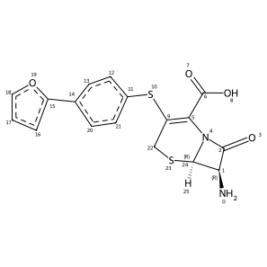 N[C@@H]1C(=O)N2C(C(=O)O)=C(Sc3ccc(-c4ccco4)cc3)CS[C@H]12